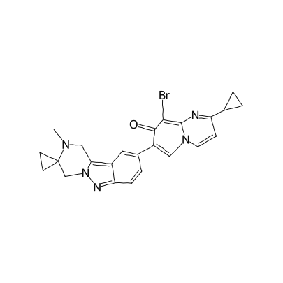 CN1Cc2c3cc(-c4cn5ccc(C6CC6)nc5c(Br)c4=O)ccc3nn2CC12CC2